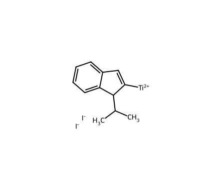 CC(C)C1[C]([Ti+2])=Cc2ccccc21.[I-].[I-]